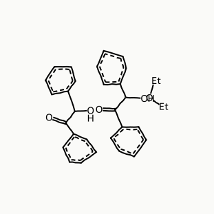 CCOCC.O=C(c1ccccc1)C(O)c1ccccc1.O=C(c1ccccc1)C(O)c1ccccc1